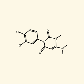 CN(C)c1nc(=O)n(-c2ccc(Cl)c(Cl)c2)c(=O)n1C